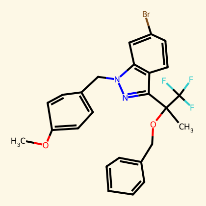 COc1ccc(Cn2nc(C(C)(OCc3ccccc3)C(F)(F)F)c3ccc(Br)cc32)cc1